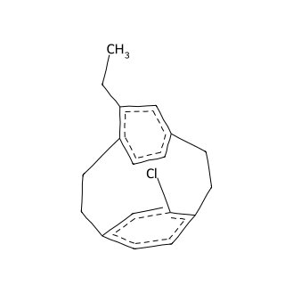 CCc1cc2ccc1CCc1ccc(c(Cl)c1)CC2